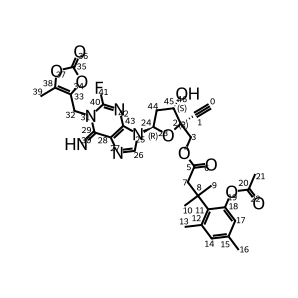 C#C[C@]1(COC(=O)CC(C)(C)c2c(C)cc(C)cc2OC(C)=O)O[C@@H](n2cnc3c(=N)n(Cc4oc(=O)oc4C)c(F)nc32)C[C@@H]1O